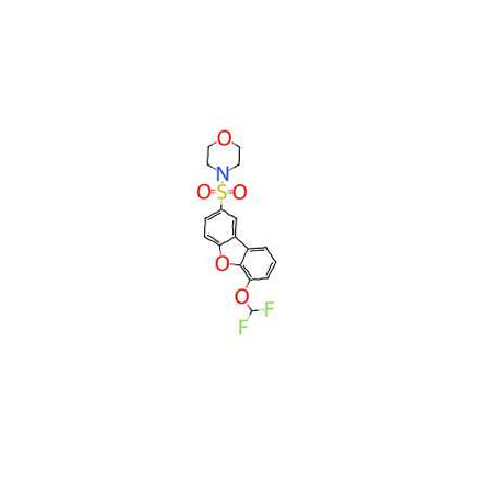 O=S(=O)(c1ccc2oc3c(OC(F)F)cccc3c2c1)N1CCOCC1